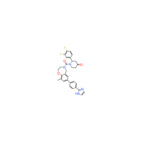 Cc1cc(-c2ccc(-c3ncc[nH]3)cc2)cc2c1OCCN(C(=O)N1CCC(=O)CC1c1ccc(F)c(F)c1)C2